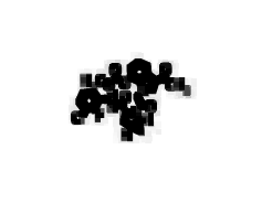 COC(=O)Oc1cccc2c(C(C)=O)cn(CC(=O)N3[C@@H]4C[C@@H]4C[C@H]3C(=O)NCc3cccc(Cl)c3F)c12